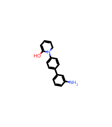 Nc1cccc(-c2ccc(N3CC=CC=C3O)cc2)c1